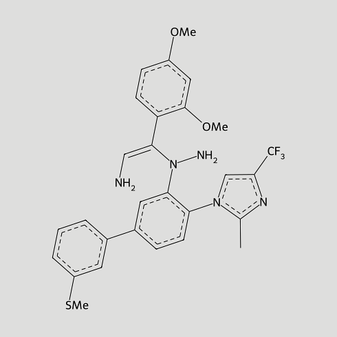 COc1ccc(/C(=C/N)N(N)c2cc(-c3cccc(SC)c3)ccc2-n2cc(C(F)(F)F)nc2C)c(OC)c1